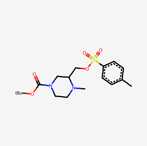 Cc1ccc(S(=O)(=O)OCC2CN(C(=O)OC(C)(C)C)CCN2C)cc1